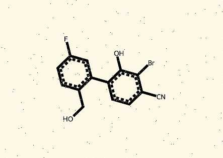 N#Cc1ccc(-c2cc(F)ccc2CO)c(O)c1Br